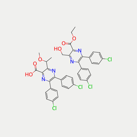 CCOC(=O)c1nc(-c2ccc(Cl)cc2)c(-c2ccc(Cl)cc2)nc1CO.COC(C)c1nc(-c2ccc(Cl)cc2)c(-c2ccc(Cl)cc2)nc1C(=O)O